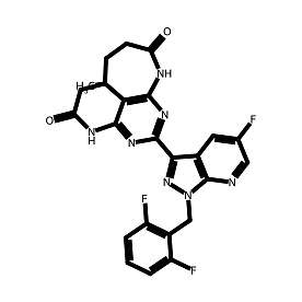 CC12CCC(=O)Nc3nc(-c4nn(Cc5c(F)cccc5F)c5ncc(F)cc45)nc(c31)NC(=O)C2